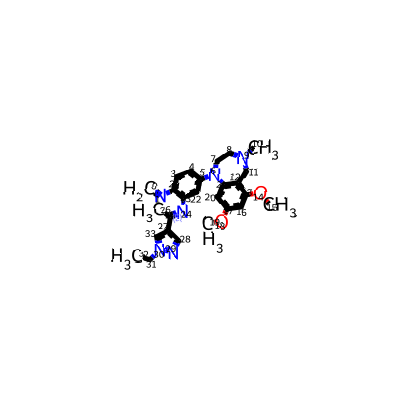 C=Nc1ccc(N2CCN(C)Cc3c(OC)cc(OC)cc32)cc1/N=C(\C)c1cnn(CC)c1